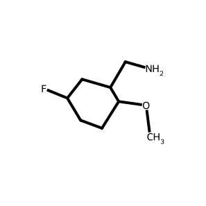 COC1CCC(F)CC1CN